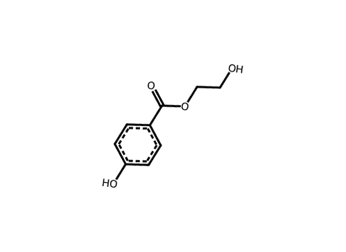 O=C(OCCO)c1ccc(O)cc1